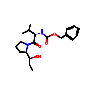 CC[C@H](O)C1CCCN1C(=O)[C@@H](NC(=O)OCc1ccccc1)C(C)C